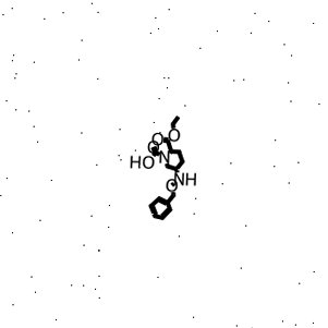 CCOC(=O)C1CCC(NOCc2ccccc2)CN1C(=O)O